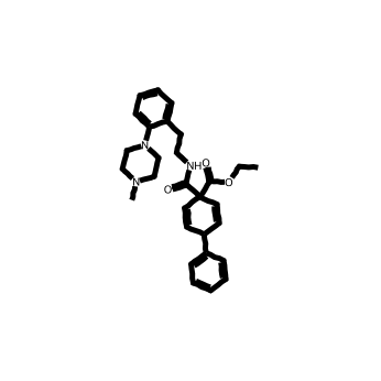 CCOC(=O)C1(C(=O)NCCc2ccccc2N2CCN(C)CC2)C=CC(c2ccccc2)C=C1